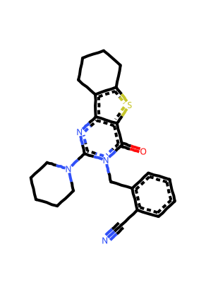 N#Cc1ccccc1Cn1c(N2CCCCC2)nc2c3c(sc2c1=O)CCCC3